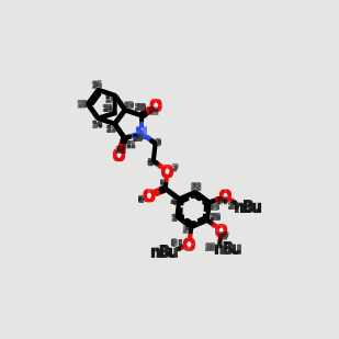 CCCCOc1cc(C(=O)OCCN2C(=O)C3C4C=CC(C4)C3C2=O)cc(OCCCC)c1OCCCC